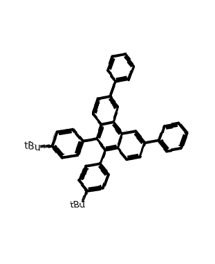 CC(C)(C)c1ccc(-c2c(-c3ccc(C(C)(C)C)cc3)c3ccc(-c4ccccc4)cc3c3cc(-c4ccccc4)ccc23)cc1